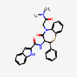 CN(C)C(=O)CN1C(=O)C(NC(=O)c2cc3ccccc3[nH]2)C(c2ccccc2)Sc2ccccc21